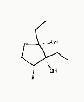 CC[C@]1(O)CC[C@@H](C)[C@]1(O)CC